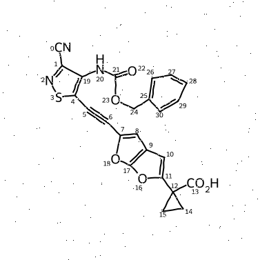 N#Cc1nsc(C#Cc2cc3cc(C4(C(=O)O)CC4)oc3o2)c1NC(=O)OCc1ccccc1